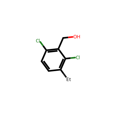 CCc1ccc(Cl)c(CO)c1Cl